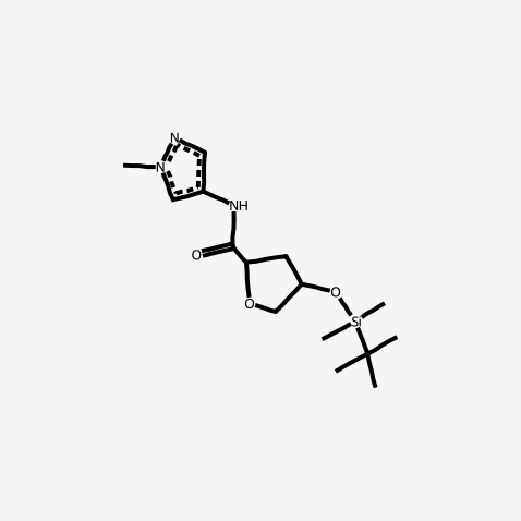 Cn1cc(NC(=O)C2CC(O[Si](C)(C)C(C)(C)C)CO2)cn1